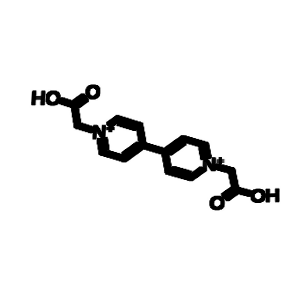 O=C(O)C[n+]1ccc(-c2cc[n+](CC(=O)O)cc2)cc1